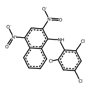 O=[N+]([O-])c1cc([N+](=O)[O-])c2ccccc2c1Nc1c(Cl)cc(Cl)cc1Cl